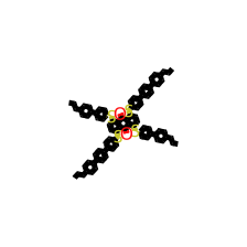 CCCC1CCC(c2ccc(Sc3ccc(Sc4ccc(-c5ccc(C6CCC(CCC)CC6)cc5)cc4)c4c3C(=O)c3c(Sc5ccc(-c6ccc(C7CCC(CCC)CC7)cc6)cc5)ccc(Sc5ccc(C6CCC(CCC)CC6)cc5)c3C4=O)cc2)CC1